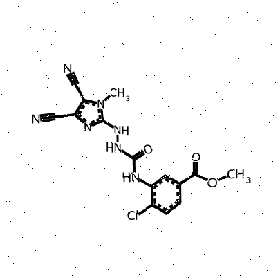 COC(=O)c1ccc(Cl)c(NC(=O)NNc2nc(C#N)c(C#N)n2C)c1